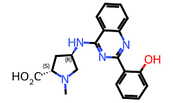 CN1C[C@H](Nc2nc(-c3ccccc3O)nc3ccccc23)C[C@H]1C(=O)O